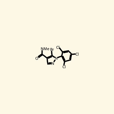 CNC(=O)c1cnn(-c2c(Cl)cc(Cl)cc2Cl)c1Br